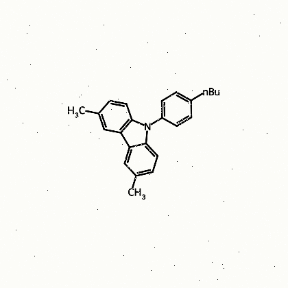 CCCCc1ccc(-n2c3ccc(C)cc3c3cc(C)ccc32)cc1